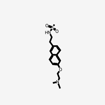 CN(C)CCOc1ccc2cc(CCNS(C)(=O)=O)ccc2c1